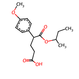 CCC(C)OC(=O)C(CCC(=O)O)c1ccc(OC)cc1